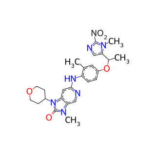 Cc1cc(OC(C)c2cnc([N+](=O)[O-])n2C)ccc1Nc1cc2c(cn1)n(C)c(=O)n2C1CCOCC1